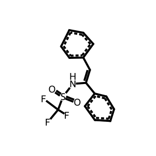 O=S(=O)(NC(=Cc1ccccc1)c1ccccc1)C(F)(F)F